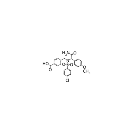 COc1ccc(C(C(N)=O)N(Cc2ccc(C(=O)O)cc2)S(=O)(=O)c2ccc(Cl)cc2)cc1